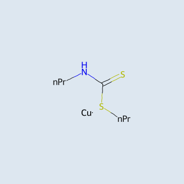 CCCNC(=S)SCCC.[Cu]